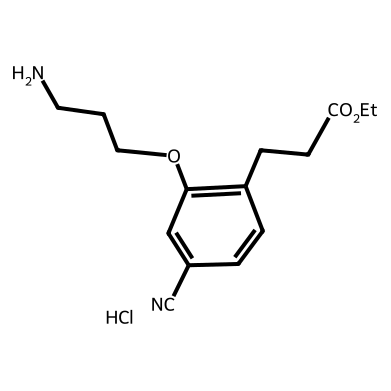 CCOC(=O)CCc1ccc(C#N)cc1OCCCN.Cl